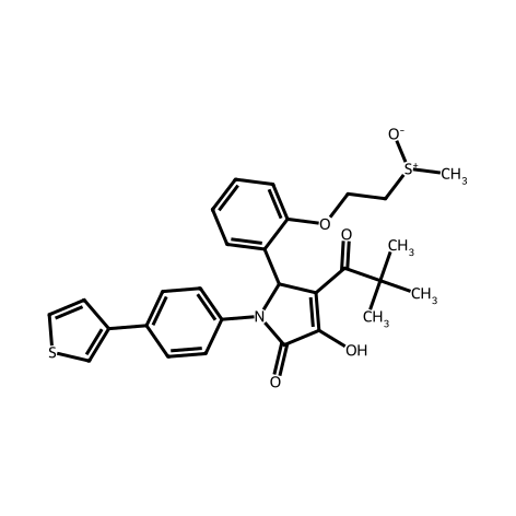 C[S+]([O-])CCOc1ccccc1C1C(C(=O)C(C)(C)C)=C(O)C(=O)N1c1ccc(-c2ccsc2)cc1